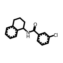 O=C(NC1CCCc2ccccc21)c1cccc(Cl)c1